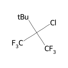 CC(C)(C)C(Cl)(C(F)(F)F)C(F)(F)F